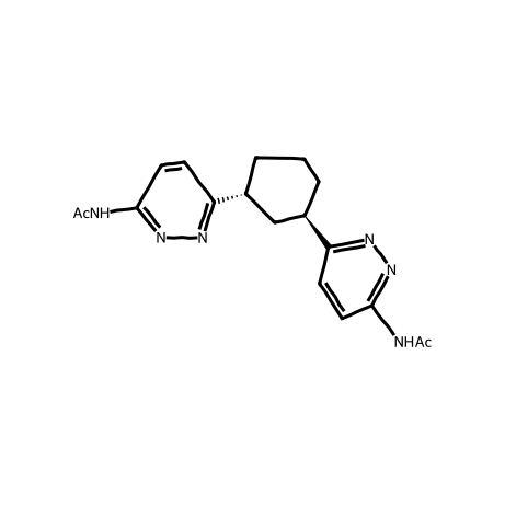 CC(=O)Nc1ccc([C@@H]2CCC[C@@H](c3ccc(NC(C)=O)nn3)C2)nn1